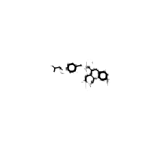 CC(C)COc1ccc(CNC(=O)C(Cc2ccc(F)cc2)C2CCN(C)CC2)cc1